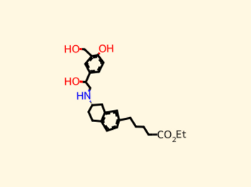 CCOC(=O)CCCCc1ccc2c(c1)C[C@@H](NCC(O)c1ccc(O)c(CO)c1)CC2